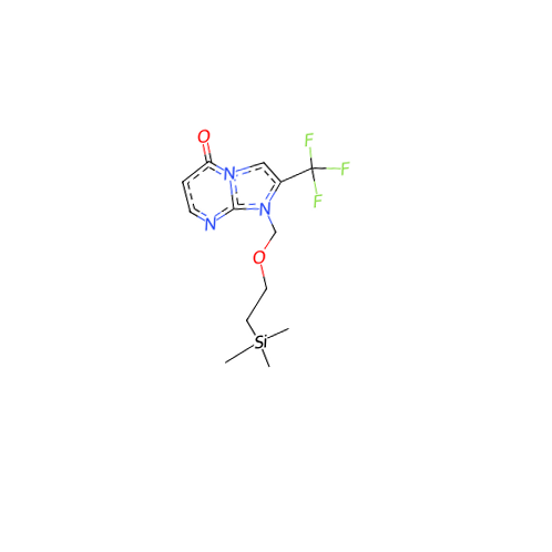 C[Si](C)(C)CCOCn1c(C(F)(F)F)cn2c(=O)ccnc12